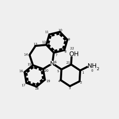 NC1CCCC(N2c3ccccc3CCc3ccccc32)C1O